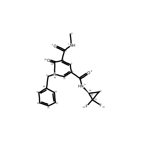 CNC(=O)c1cc(C(=O)N[C@H]2CC2(F)F)cn(Cc2ccccc2)c1=O